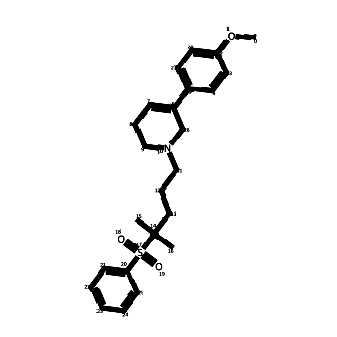 COc1ccc(C2=CCCN(CCCC(C)(C)S(=O)(=O)c3ccccc3)C2)cc1